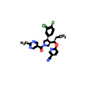 CC[C@H](Oc1ccc(C#N)cn1)[C@H]1CN(C(=O)c2cnc(C)nc2)C[C@@H]1c1ccc(Cl)c(Cl)c1